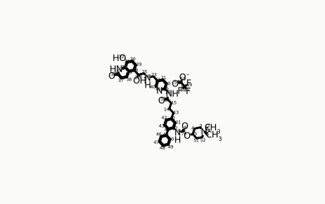 C[N+]1(C)CCC(OC(=O)Nc2cc(CCCC(=O)Nc3ccc(CNC[C@H](O)c4ccc(O)c5[nH]c(=O)ccc45)cn3)ccc2-c2ccccc2)CC1.O=C([O-])C(F)(F)F